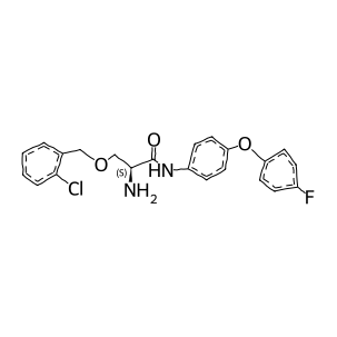 N[C@@H](COCc1ccccc1Cl)C(=O)Nc1ccc(Oc2ccc(F)cc2)cc1